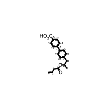 C=CCC(=O)OC(C)Cc1ccc(-c2ccc(C(=O)O)cc2)cc1